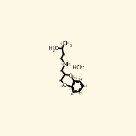 CC(C)CCNCC1COc2ccccc2O1.Cl